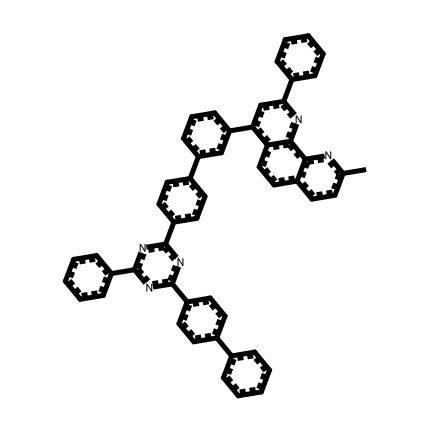 Cc1ccc2ccc3c(-c4cccc(-c5ccc(-c6nc(-c7ccccc7)nc(-c7ccc(-c8ccccc8)cc7)n6)cc5)c4)cc(-c4ccccc4)nc3c2n1